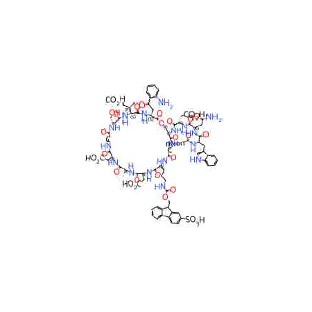 CCCCCCCCCC(=O)NC(Cc1c[nH]c2ccccc12)C(=O)N[C@H](CC(N)=O)C(=O)N[C@@H](CC(=O)O)C(=O)N[C@@H]1C(=O)NCC(=O)N[C@@H](CCCNC(=O)OCC2c3ccccc3-c3ccc(S(=O)(=O)O)cc32)C(=O)N[C@@H](CC(=O)O)C(=O)N[C@H](C)C(=O)N[C@@H](CC(=O)O)C(=O)NCC(=O)N[C@H](CO)C(=O)N[C@@H]([C@H](C)CC(=O)O)C(=O)N[C@@H](CC(=O)c2ccccc2N)C(=O)O[C@@H]1C